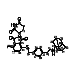 O=C1CCC(N2C(=O)c3c(F)ccc(SCc4ccc(CCNC56CC7CC(CC(C7)C5)C6)cc4)c3C2=O)C(=O)N1